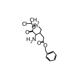 CC(C)CC(CC(=O)OCc1ccccc1)C(N)C(=O)OC(C)Cl